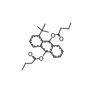 CCCC(=O)Oc1c2ccccc2c(OC(=O)CCC)c2c(C(C)(C)C)cccc12